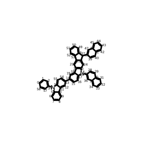 c1ccc(-n2c3ccccc3c3cc(-c4ccc5c(c4)c4cc6c(cc4n5-c4ccc5ccccc5c4)C(c4ccc5ccccc5c4)c4ccccc4-6)ccc32)cc1